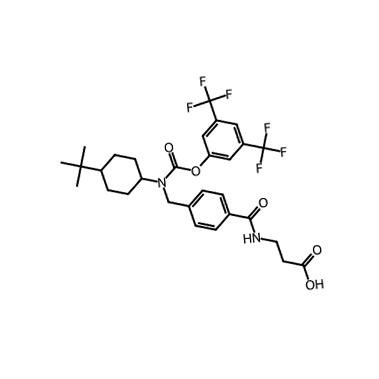 CC(C)(C)C1CCC(N(Cc2ccc(C(=O)NCCC(=O)O)cc2)C(=O)Oc2cc(C(F)(F)F)cc(C(F)(F)F)c2)CC1